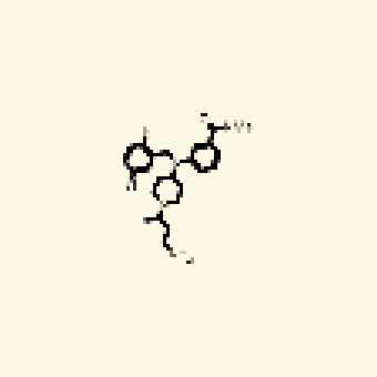 CNC(=O)c1cccc(N(Cc2cc(Cl)ccc2F)C2CCN(C(C)CCN)CC2)c1